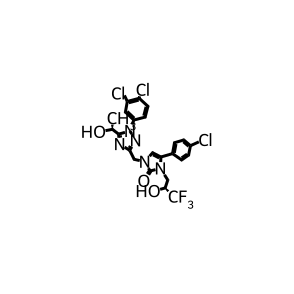 C[C@H](O)c1nc(Cn2cc(-c3ccc(Cl)cc3)n(C[C@H](O)C(F)(F)F)c2=O)nn1-c1ccc(Cl)c(Cl)c1